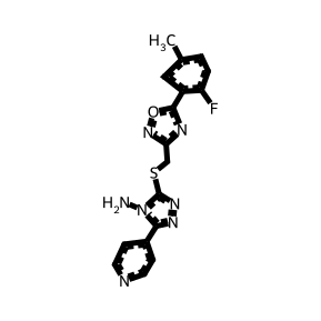 Cc1ccc(F)c(-c2nc(CSc3nnc(-c4ccncc4)n3N)no2)c1